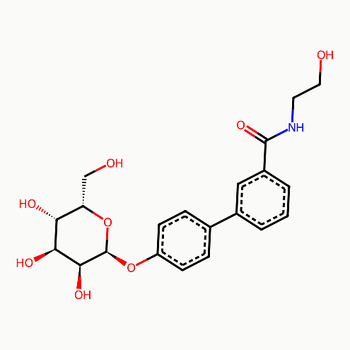 O=C(NCCO)c1cccc(-c2ccc(O[C@@H]3O[C@@H](CO)[C@@H](O)[C@H](O)[C@@H]3O)cc2)c1